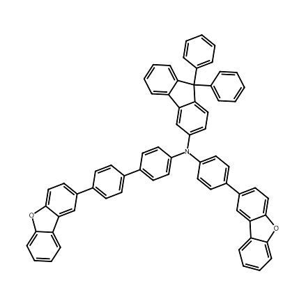 c1ccc(C2(c3ccccc3)c3ccccc3-c3cc(N(c4ccc(-c5ccc(-c6ccc7oc8ccccc8c7c6)cc5)cc4)c4ccc(-c5ccc6oc7ccccc7c6c5)cc4)ccc32)cc1